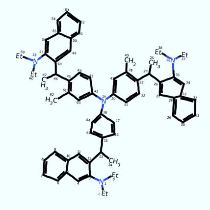 CCN(CC)c1cc2ccccc2cc1C(C)c1ccc(N(c2ccc(C(C)c3cc4ccccc4cc3N(CC)CC)c(C)c2)c2ccc(C(C)c3cc4ccccc4cc3N(CC)CC)c(C)c2)cc1